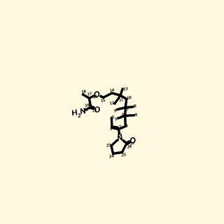 C/C=C(\CC(C)(C)C(C)(C)CC(C)(C)CCOC(C)C(N)=O)N1CCCC1=O